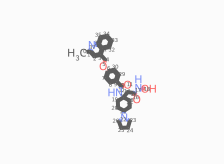 Cc1cc(COc2ccc(C(=O)NC3(CC(=O)NO)CCC(N4CCCC4)CC3)cc2)c2ccccc2n1